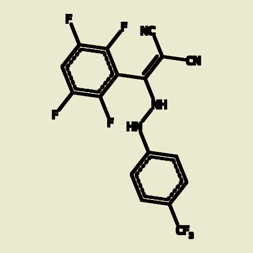 N#CC(C#N)=C(NNc1ccc(C(F)(F)F)cc1)c1c(F)c(F)cc(F)c1F